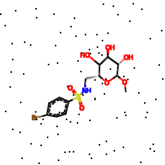 COC1O[C@H](CNS(=O)(=O)c2ccc(Br)cc2)C(O)[C@@H](O)[C@@H]1O